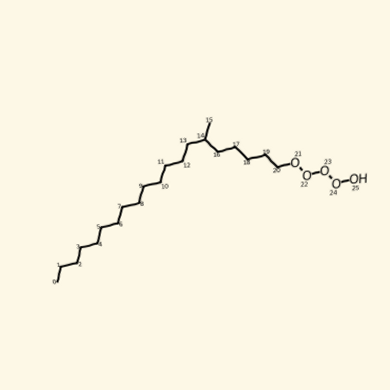 CCCCCCCCCCCCCCC(C)CCCCCOOOOO